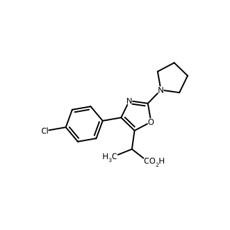 CC(C(=O)O)c1oc(N2CCCC2)nc1-c1ccc(Cl)cc1